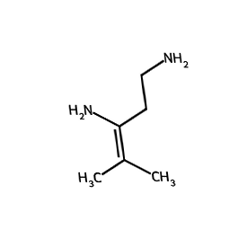 CC(C)=C(N)CCN